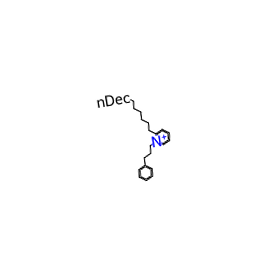 CCCCCCCCCCCCCCCCc1cccc[n+]1CCCc1ccccc1